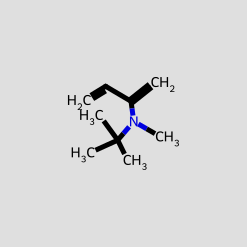 C=CC(=C)N(C)C(C)(C)C